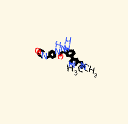 CN(C)Cc1cncc(-c2ccc3[nH]nc(C(=O)Nc4ccc(CN5CCOCC5)cc4)c3c2)c1